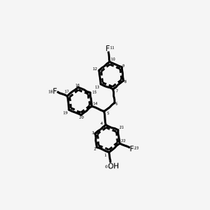 Oc1ccc(C(Cc2ccc(F)cc2)c2ccc(F)cc2)cc1F